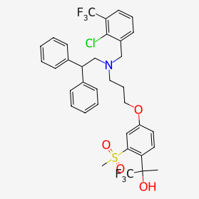 CC(O)(c1ccc(OCCCN(Cc2cccc(C(F)(F)F)c2Cl)CC(c2ccccc2)c2ccccc2)cc1S(C)(=O)=O)C(F)(F)F